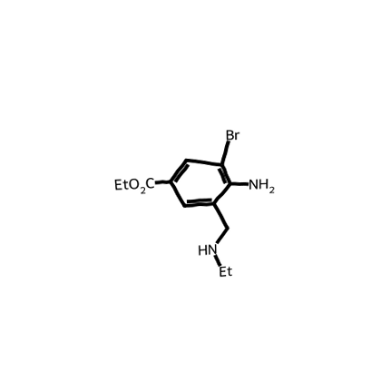 CCNCc1cc(C(=O)OCC)cc(Br)c1N